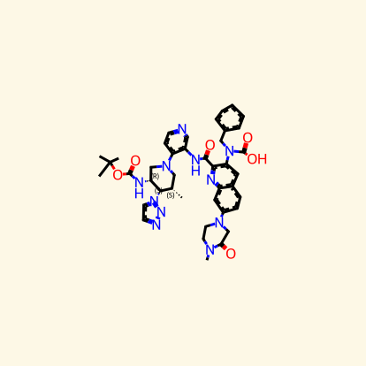 C[C@H]1CN(c2ccncc2NC(=O)c2nc3cc(N4CCN(C)C(=O)C4)ccc3cc2N(Cc2ccccc2)C(=O)O)C[C@@H](NC(=O)OC(C)(C)C)[C@H]1n1ccnn1